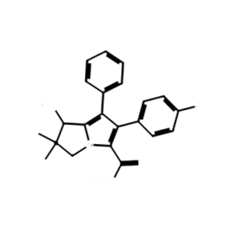 CCOC(=O)C(=O)c1c(-c2ccc(Cl)cc2)c(-c2ccccc2)c2n1CC(C)(C)C2OC(C)=O